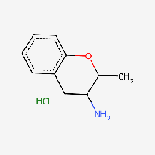 CC1Oc2ccccc2CC1N.Cl